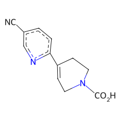 N#Cc1ccc(C2=CCN(C(=O)O)CC2)nc1